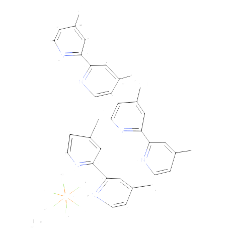 Cc1ccnc(-c2cc(C)ccn2)c1.Cc1ccnc(-c2cc(C)ccn2)c1.Cc1ccnc(-c2cc(C)ccn2)c1.F[P-](F)(F)(F)(F)F.[H+].[Ru+3]